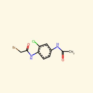 CC(=O)Nc1ccc(NC(=O)CBr)c(Cl)c1